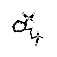 CS(=O)(=O)CCc1ccccc1S(=O)(=O)Cl